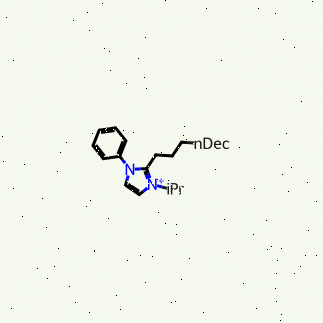 CCCCCCCCCCCCCc1n(-c2ccccc2)cc[n+]1C(C)C